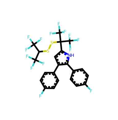 Fc1ccc(-c2cc(C(SSC(C(F)(F)F)C(F)(F)F)(C(F)(F)F)C(F)(F)F)[nH]c2-c2ccc(F)cc2)cc1